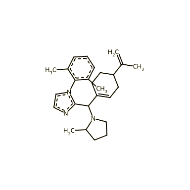 C=C(C)C1CC=C(C(c2nccn2-c2c(C)cccc2C)N2CCCC2C)CC1